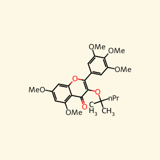 CCCC(C)(C)Oc1c(-c2cc(OC)c(OC)c(OC)c2)oc2cc(OC)cc(OC)c2c1=O